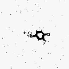 [CH2]Nc1ccc(Cl)c(F)c1